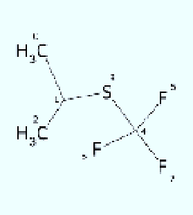 CC(C)SC(F)(F)F